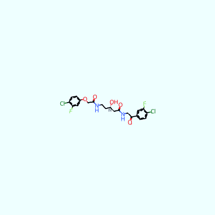 O=C(COc1ccc(Cl)c(F)c1)NCC[C@H](O)CC(=O)NCC(=O)c1ccc(Cl)c(F)c1